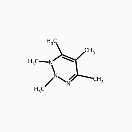 CC1=NN(C)N(C)C(C)=C1C